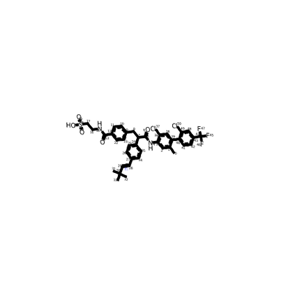 Cc1cc(NC(=O)C(Cc2ccc(C(=O)NCCS(=O)(=O)O)cc2)c2ccc(/C=C/C(C)(C)C)cc2)c(Cl)cc1-c1ccc(C(F)(F)F)cc1Cl